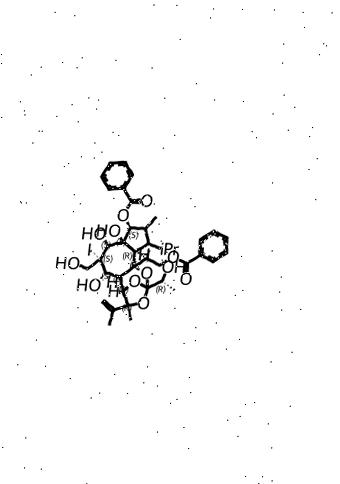 C=C(C)[C@@]1(C)OC2([C@@H](C)O)O[C@@H]1[C@@H]1[C@H](O)[C@@](I)(CO)[C@@H](O)[C@@]3(O)[C@@H](C(C(C)C)C(C)[C@@H]3OC(=O)c3ccccc3)[C@]1([C@@H](C)COC(=O)c1ccccc1)O2